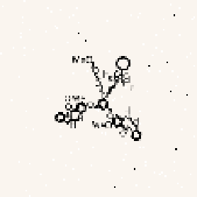 COCCOCCOCCN(CCCC(=O)NC(C)(C)C1CCCCCCC1)c1cc(COc2cc3c(cc2OC)C(=O)N2c4ccccc4C[C@H]2C=N3)cc(COc2cc3c(cc2OC)C(=O)N2c4ccccc4C[C@H]2CN3)c1